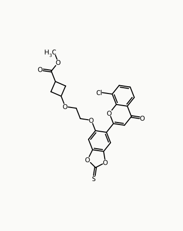 COC(=O)C1CC(OCCOc2cc3oc(=S)oc3cc2-c2cc(=O)c3cccc(Cl)c3o2)C1